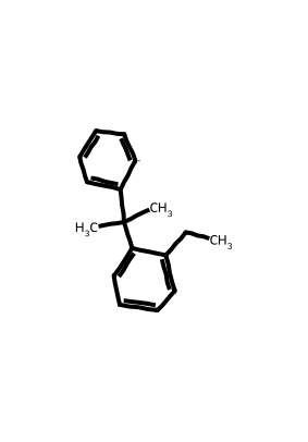 CCc1ccccc1C(C)(C)c1[c]cccc1